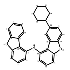 c1ccc2c(c1)oc1cccc(Nc3cccc4oc5ccc(C6CCCCC6)cc5c34)c12